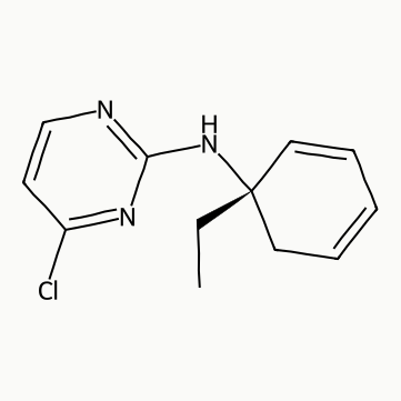 CC[C@@]1(Nc2nccc(Cl)n2)C=CC=CC1